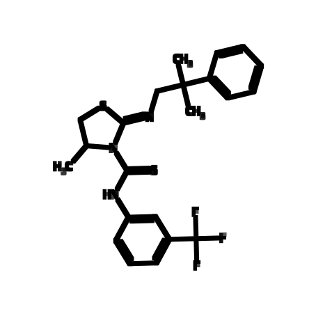 CC1CS/C(=N\CC(C)(C)c2ccccc2)N1C(=S)Nc1cccc(C(F)(F)F)c1